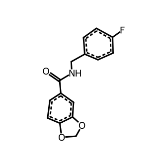 O=C(NCc1ccc(F)cc1)c1ccc2c(c1)OCO2